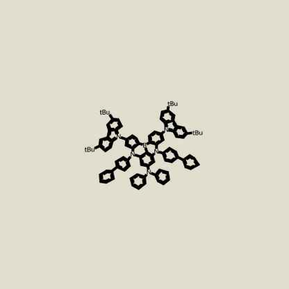 CC(C)(C)c1ccc2c(c1)c1cc(C(C)(C)C)ccc1n2-c1ccc2c(c1)N(c1ccc(-c3ccccc3)cc1)c1cc(N(c3ccccc3)c3ccccc3)cc3c1B2c1ccc(-n2c4ccc(C(C)(C)C)cc4c4cc(C(C)(C)C)ccc42)cc1N3c1ccc(-c2ccccc2)cc1